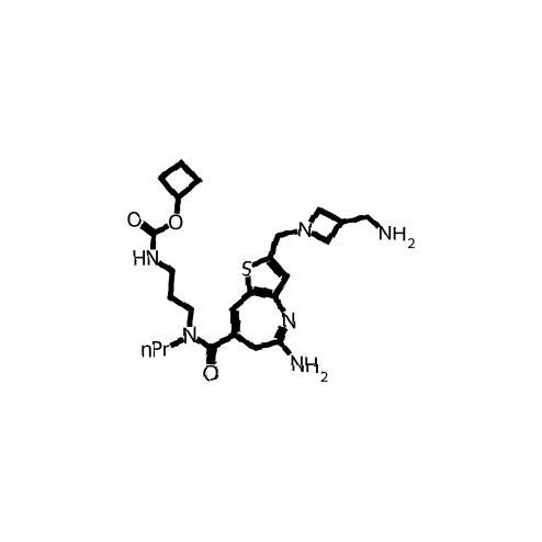 CCCN(CCCNC(=O)OC1CCC1)C(=O)C1=Cc2sc(CN3CC(CN)C3)cc2N=C(N)C1